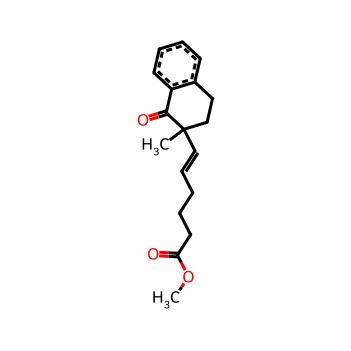 COC(=O)CCCC=CC1(C)CCc2ccccc2C1=O